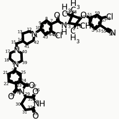 CC1(C)[C@H](NC(=O)c2ccc(N3CCC(CN4CCN(c5ccc6c(c5)C(=O)N(C5CCC(=O)NC5=O)C6=O)CC4)CC3)cc2Cl)C(C)(C)[C@H]1Oc1ccc(C#N)c(Cl)c1